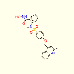 Cc1cc(COc2ccc(S(=O)(=O)N(C)C3C4C=CC(C4)C3C(=O)NO)cc2)c2ccccc2n1